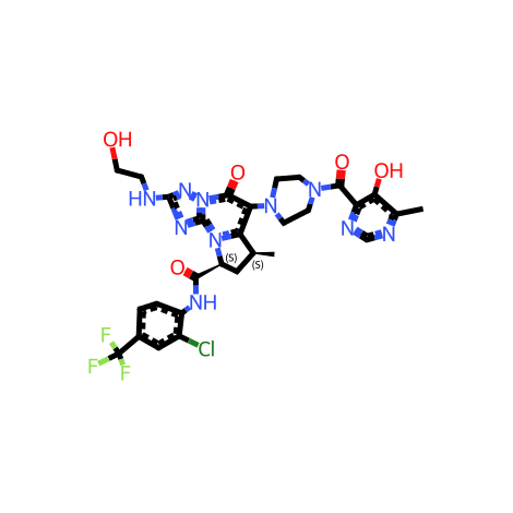 Cc1ncnc(C(=O)N2CCN(c3c4n(c5nc(NCCO)nn5c3=O)[C@H](C(=O)Nc3ccc(C(F)(F)F)cc3Cl)C[C@@H]4C)CC2)c1O